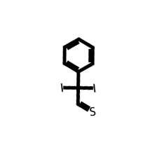 S=CC(I)(I)c1ccccc1